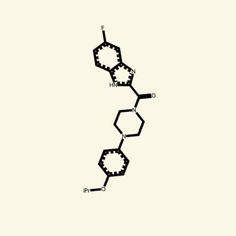 CC(C)Oc1ccc(N2CCN(C(=O)c3nc4cc(F)ccc4[nH]3)CC2)cc1